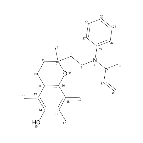 C=CC(C)N(CCC1(C)CCc2c(C)c(O)c(C)c(C)c2O1)c1ccccc1